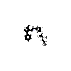 Cc1onc(-c2ccccc2)c1/C=C/c1ncc(OC(=O)NCCO)s1